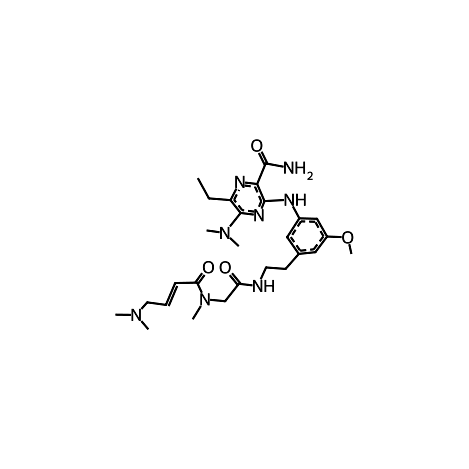 CCc1nc(C(N)=O)c(Nc2cc(CCNC(=O)CN(C)C(=O)/C=C/CN(C)C)cc(OC)c2)nc1N(C)C